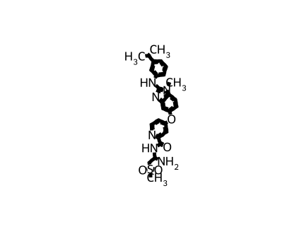 CC(C)c1cccc(Nc2nc3cc(Oc4ccnc(C(=O)NC(N)CS(C)(=O)=O)c4)ccc3n2C)c1